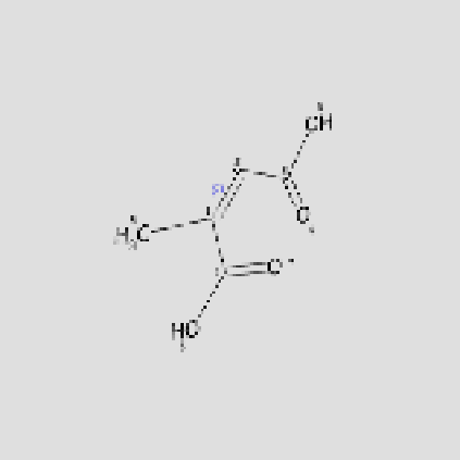 C/C(=[C]/C(=O)O)C(=O)O